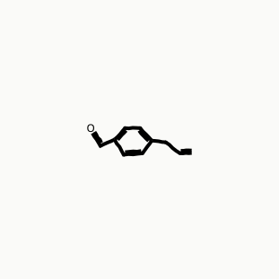 C=CCc1ccc(C=O)cc1